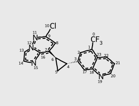 FC(F)(F)c1cc([C@@H]2C[C@H]2c2cc(Cl)nn3ccnc23)cc2ncccc12